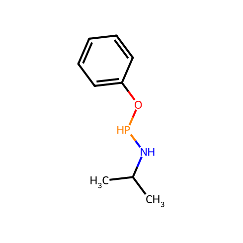 CC(C)NPOc1ccccc1